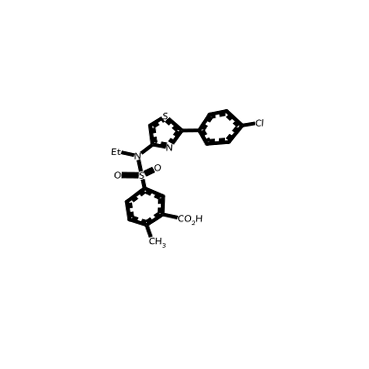 CCN(c1csc(-c2ccc(Cl)cc2)n1)S(=O)(=O)c1ccc(C)c(C(=O)O)c1